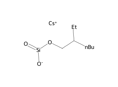 CCCCC(CC)CO[Si](=O)[O-].[Cs+]